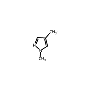 [CH2]c1cnn(C)c1